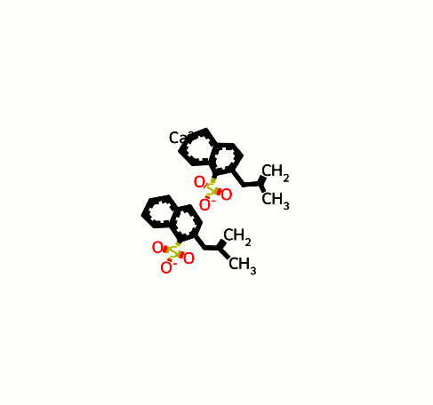 C=C(C)Cc1ccc2ccccc2c1S(=O)(=O)[O-].C=C(C)Cc1ccc2ccccc2c1S(=O)(=O)[O-].[Ca+2]